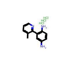 Cc1cccnc1-c1cc(N)ccc1N.Cl.Cl.Cl